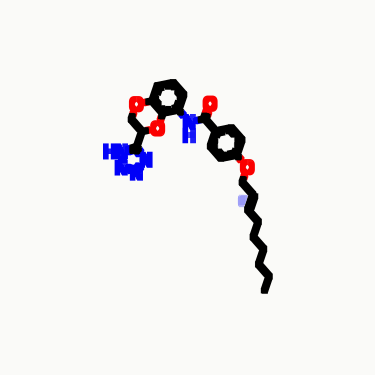 CCCCCC/C=C/COc1ccc(C(=O)Nc2cccc3c2OC(c2nnn[nH]2)CO3)cc1